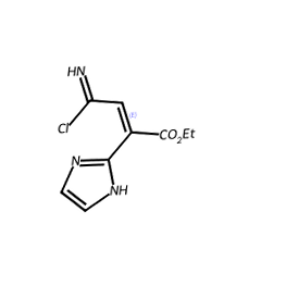 CCOC(=O)/C(=C/C(=N)Cl)c1ncc[nH]1